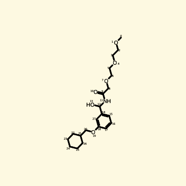 COCCOCCOCC(=O)NC(O)c1cccc(OCC2CCCCC2)c1